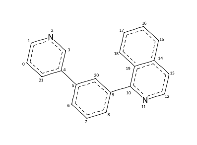 c1cncc(-c2cccc(-c3nccc4ccccc34)c2)c1